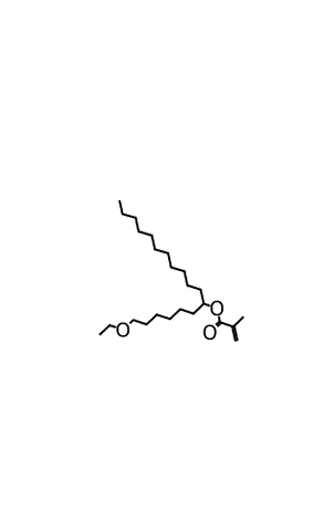 C=C(C)C(=O)OC(CCCCCCCCCCC)CCCCCCOCC